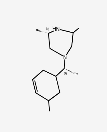 CC1C=CCC([C@@H](C)N2CC(C)N[C@@H](C)C2)C1